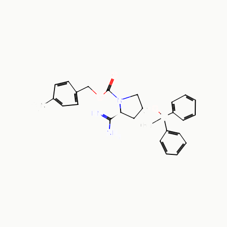 CC(C)(C)[Si](O[C@@H]1C[C@@H](C(=N)N)N(C(=O)OCc2ccc([N+](=O)[O-])cc2)C1)(c1ccccc1)c1ccccc1